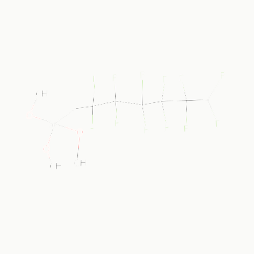 CO[Si](CC(F)(F)C(F)(F)C(F)(F)C(F)(F)C(F)(F)C(F)F)(OC)OC